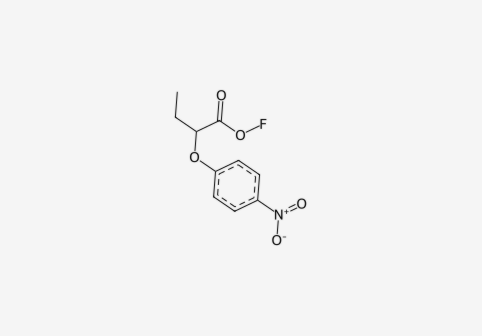 CCC(Oc1ccc([N+](=O)[O-])cc1)C(=O)OF